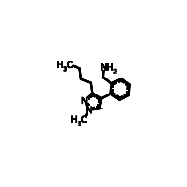 CCCCc1nn(C)[c]c1-c1ccccc1CN